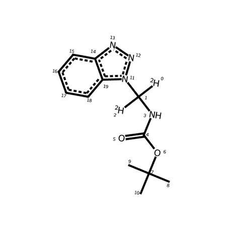 [2H]C([2H])(NC(=O)OC(C)(C)C)n1nnc2ccccc21